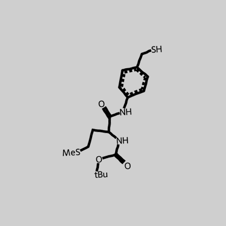 CSCCC(NC(=O)OC(C)(C)C)C(=O)Nc1ccc(CS)cc1